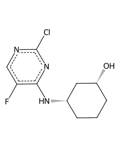 O[C@@H]1CCC[C@H](Nc2nc(Cl)ncc2F)C1